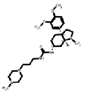 COc1ccc([C@@]23CC[C@@H](NC(=O)NCCCN4CCN(C)CC4)C[C@@H]2N(C)CC3)cc1OC